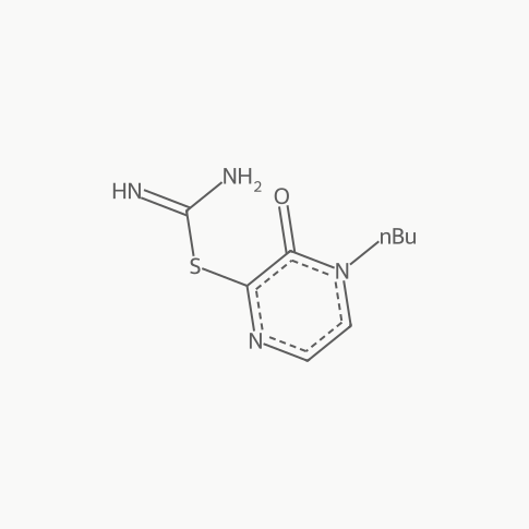 CCCCn1ccnc(SC(=N)N)c1=O